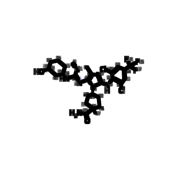 C=N/C(=N\c1c(C)nc(Nc2c(Cl)cc(C(F)(F)F)cc2Cl)n1[C@H]1CC[C@@](C)(C(N)=O)CC1)N[C@@H]1CCC[C@H](O)C1